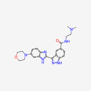 CN(C)CCNC(=O)c1ccc2[nH]nc(-c3nc4ccc(N5CCOCC5)cc4[nH]3)c2c1